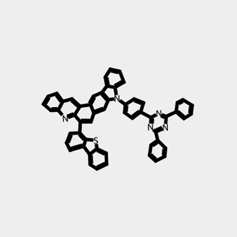 c1ccc(-c2nc(-c3ccccc3)nc(-c3ccc(-n4c5ccccc5c5cc6c(cc(-c7cccc8c7sc7ccccc78)c7nc8ccccc8cc76)cc54)cc3)n2)cc1